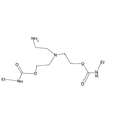 CCNC(=O)OCCN(CCN)CCOC(=O)NCC